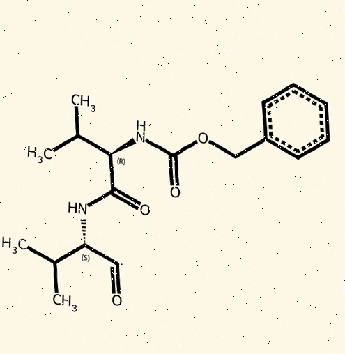 CC(C)[C@@H]([C]=O)NC(=O)[C@H](NC(=O)OCc1ccccc1)C(C)C